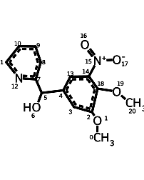 COc1cc(C(O)c2ccccn2)cc([N+](=O)[O-])c1OC